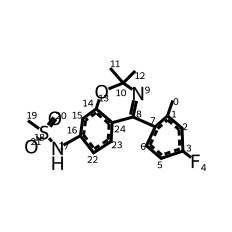 Cc1cc(F)ccc1C1=NC(C)(C)Oc2cc(NS(C)(=O)=O)ccc21